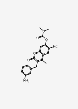 [C-]#[N+]c1cc2c(C)c(Cc3cccc(N)c3)c(=O)oc2cc1OC(=O)N(C)C